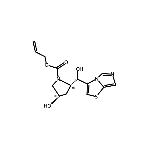 C=CCOC(=O)N1C[C@H](O)C[C@H]1C(O)c1csc2cncn12